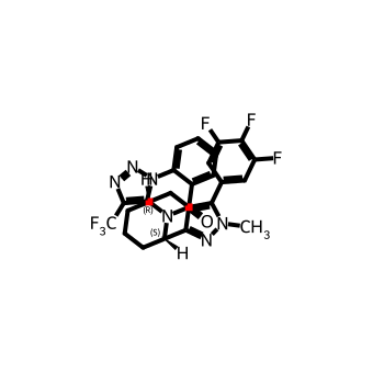 Cn1nc2c(c1-c1cc(F)c(F)c(F)c1)C[C@H]1CCC[C@@H]2N1C(=O)c1ccccc1-n1cc(C(F)(F)F)nn1